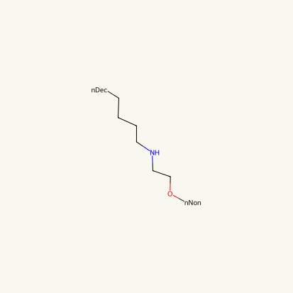 CCCCCCCCCCCCCCNCCOCCCCCCCCC